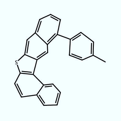 Cc1ccc(-c2cccc3cc4sc5ccc6ccccc6c5c4cc23)cc1